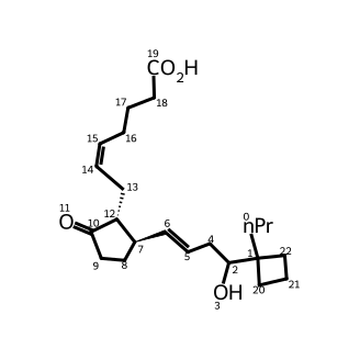 CCCC1(C(O)C/C=C/[C@H]2CCC(=O)[C@@H]2C/C=C\CCCC(=O)O)CCC1